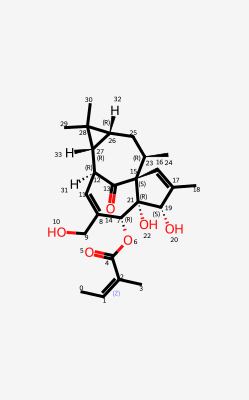 C/C=C(/C)C(=O)O[C@@H]1C(CO)=C[C@@H]2C(=O)[C@]3(C=C(C)[C@H](O)[C@@]13O)[C@H](C)C[C@@H]1[C@H]2C1(C)C